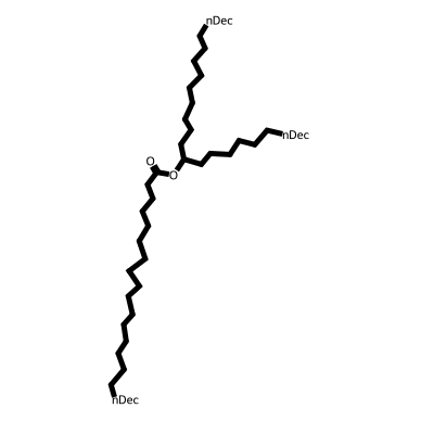 CCCCCCCCCCCCCCCCCCCCCCCCCC(=O)OC(CCCCCCCCCCCCCCCC)CCCCCCCCCCCCCCCCCCC